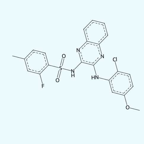 COc1ccc(Cl)c(Nc2nc3ccccc3nc2NS(=O)(=O)c2ccc(C)cc2F)c1